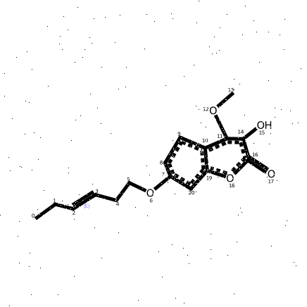 CC/C=C/CCOc1ccc2c(OC)c(O)c(=O)oc2c1